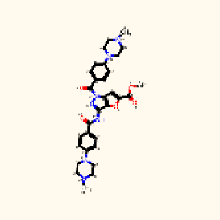 CCCOC(=O)c1cc2c(o1)c(NC(=O)c1ccc(N3CCN(C)CC3)cc1)nn2C(=O)c1ccc(N2CCN(C)CC2)cc1